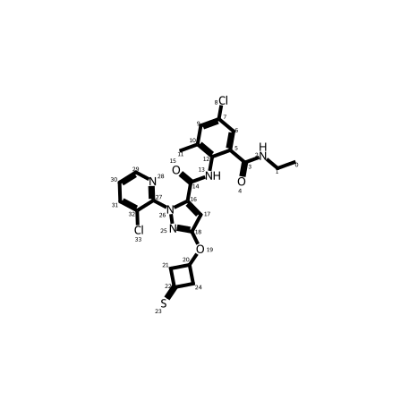 CCNC(=O)c1cc(Cl)cc(C)c1NC(=O)c1cc(OC2CC(=S)C2)nn1-c1ncccc1Cl